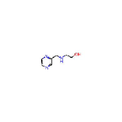 OCCNCc1cnccn1